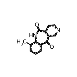 Cc1cccc2c(=O)c3cnccc3c(=O)[nH]c12